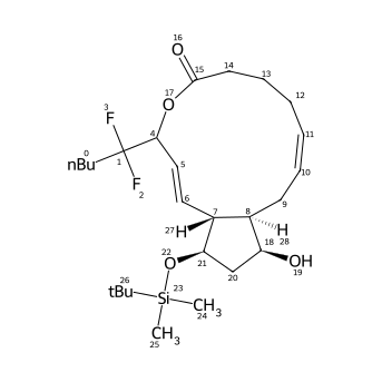 CCCCC(F)(F)C1/C=C/[C@@H]2[C@@H](C/C=C\CCCC(=O)O1)[C@@H](O)C[C@H]2O[Si](C)(C)C(C)(C)C